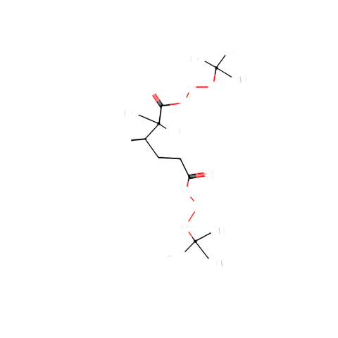 CC(CCC(=O)OOOC(C)(C)C)C(C)(C)C(=O)OOOC(C)(C)C